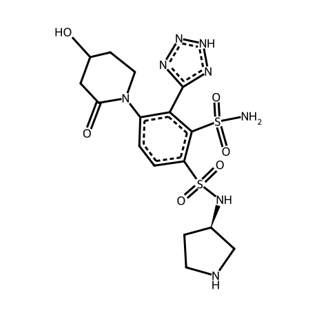 NS(=O)(=O)c1c(S(=O)(=O)N[C@@H]2CCNC2)ccc(N2CCC(O)CC2=O)c1-c1nn[nH]n1